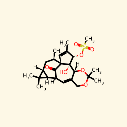 CC1=C[C@]23C(=O)[C@@H](C=C4COC(C)(C)O[C@H]4[C@]2(O)[C@H]1OS(C)(=O)=O)[C@H]1[C@@H](C[C@H]3C)C1(C)C